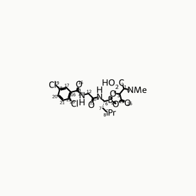 CNC(C(=O)O)C1OB([C@H](CC(C)C)NC(=O)CNC(=O)c2cc(Cl)ccc2Cl)OC1=O